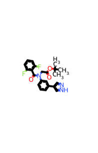 CC(C)(C)OC(=O)CN(C(=O)c1c(F)cccc1F)c1cccc(-c2cn[nH]c2)c1